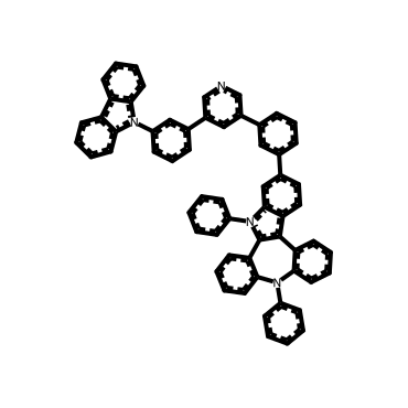 c1ccc(N2c3ccccc3-c3c(n(-c4ccccc4)c4cc(-c5cccc(-c6cncc(-c7cccc(-n8c9ccccc9c9ccccc98)c7)c6)c5)ccc34)-c3ccccc32)cc1